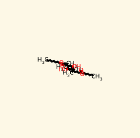 CCCCCCCCOC(=O)CC(C)(C)c1cc(O)c(C(C)(C)CCCC(=O)OCCCCCC)cc1O